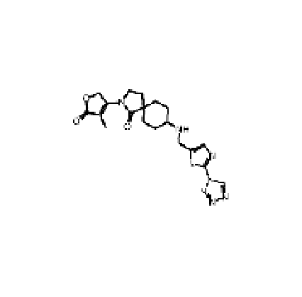 CC1=C(N2CCC3(CCC(NCc4cnc(-n5cnnn5)s4)CC3)C2=O)COC1=O